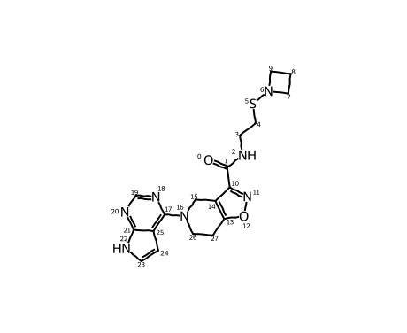 O=C(NCCSN1CCC1)c1noc2c1CN(c1ncnc3[nH]ccc13)CC2